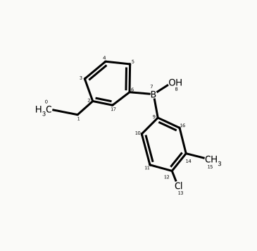 CCc1cccc(B(O)c2ccc(Cl)c(C)c2)c1